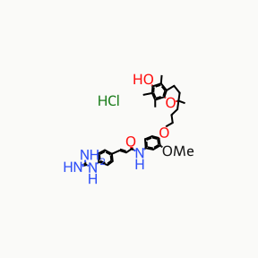 COc1cc(NC(=O)C=Cc2ccc(NC(=N)N)cc2)ccc1OCCCCC1(C)CCc2c(C)c(O)c(C)c(C)c2O1.Cl